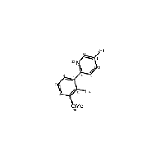 CCc1ccc(-c2cccc(OC)c2F)nc1